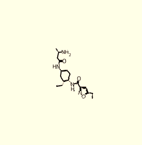 CCc1cc(C(=O)N[C@H]2CC[C@H](NC(=O)C[C@@H](C)N)C[C@H]2CC)no1